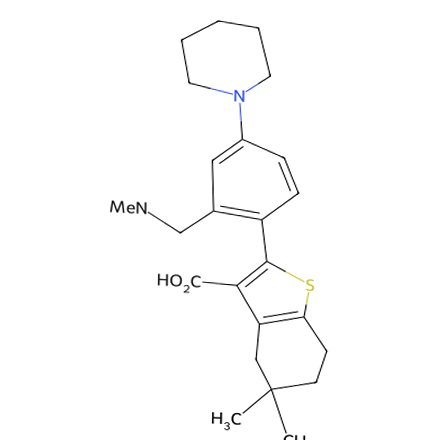 CNCc1cc(N2CCCCC2)ccc1-c1sc2c(c1C(=O)O)CC(C)(C)CC2